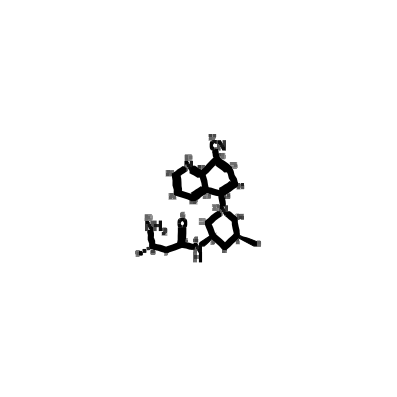 C[C@H]1C[C@@H](NC(=O)C[C@H](C)N)CN(c2ccc(C#N)c3ncccc23)C1